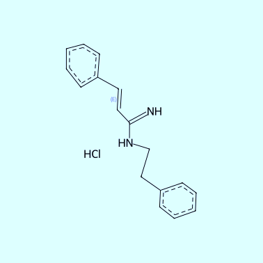 Cl.N=C(/C=C/c1ccccc1)NCCc1ccccc1